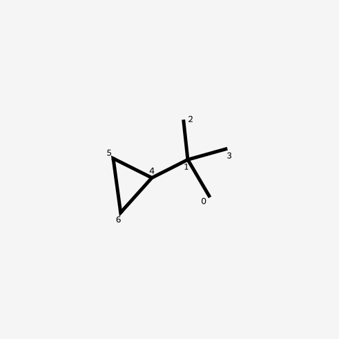 CC(C)(C)C1CC1